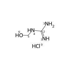 Cl.N=C(N)NCO